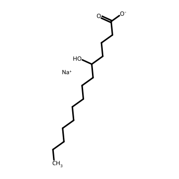 CCCCCCCCCC(O)CCCC(=O)[O-].[Na+]